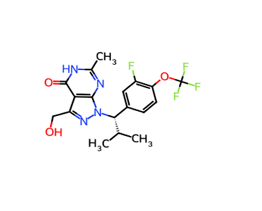 Cc1nc2c(c(CO)nn2[C@H](c2ccc(OC(F)(F)F)c(F)c2)C(C)C)c(=O)[nH]1